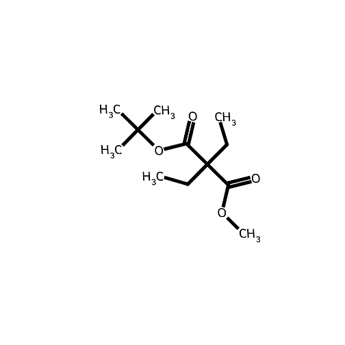 CCC(CC)(C(=O)OC)C(=O)OC(C)(C)C